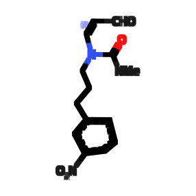 CNC(=O)N(/C=C\C=O)CCCc1cccc([N+](=O)[O-])c1